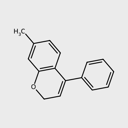 Cc1ccc2c(c1)OCC=C2c1ccccc1